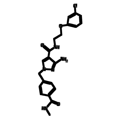 CNC(=O)c1ccc(Cn2cc(C(=O)NCCOc3cccc(Cl)c3)c(N)n2)cc1